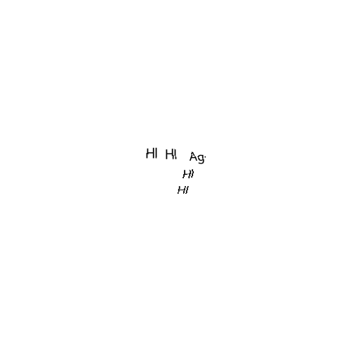 I.I.I.I.[Ag]